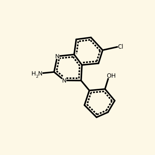 Nc1nc(-c2ccccc2O)c2cc(Cl)ccc2n1